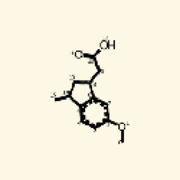 COc1ccc2c(c1)C(CC(=O)O)CC2C